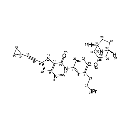 CC(C)CCc1cc(-n2cnc3cc(C#CC4CC4)sc3c2=O)ccc1O[C@H]1C[C@H]2CC[C@@H](C1)N2C